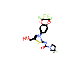 O=C(N=c1sc(CO)cn1-c1ccc2c(c1)OC(F)(F)C(F)(F)O2)N1CC[C@@H](F)C1